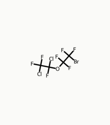 FC(F)(Cl)C(F)(Cl)OC(F)(F)C(F)(F)Br